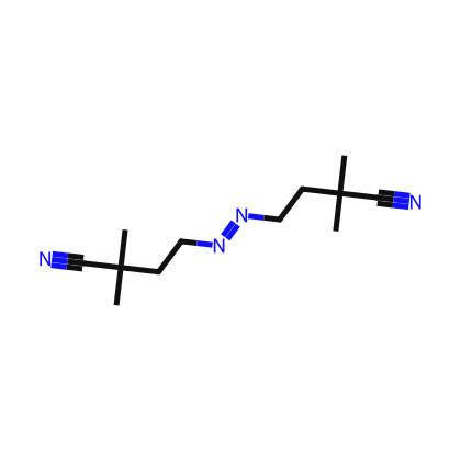 CC(C)(C#N)CCN=NCCC(C)(C)C#N